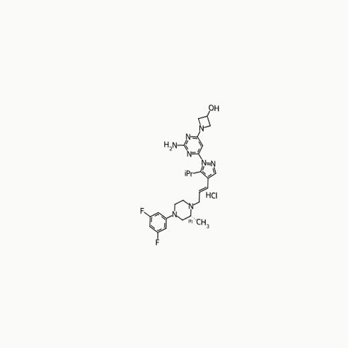 CC(C)c1c(C=CCN2CCN(c3cc(F)cc(F)c3)C[C@H]2C)cnn1-c1cc(N2CC(O)C2)nc(N)n1.Cl